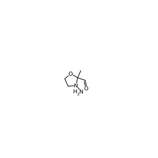 CC1(C=O)OCCN1N